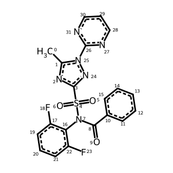 Cc1nc(S(=O)(=O)N(C(=O)c2ccccc2)c2c(F)cccc2F)nn1-c1ncccn1